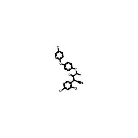 CC(Oc1ccc(Oc2ccc(Cl)cn2)cc1)C(=O)C(C#N)c1ccc(Cl)cc1Cl